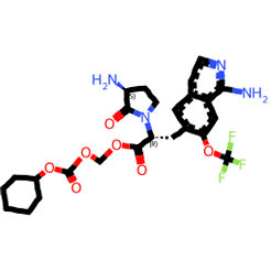 Nc1nccc2cc(C[C@H](C(=O)OCOC(=O)OC3CCCCC3)N3CC[C@H](N)C3=O)c(OC(F)(F)F)cc12